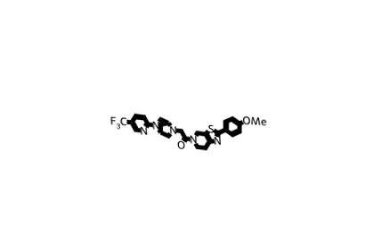 COc1ccc(-c2nc3c(s2)CN(C(=O)CN2CC4CC2CN4c2ccc(C(F)(F)F)cn2)CC3)cc1